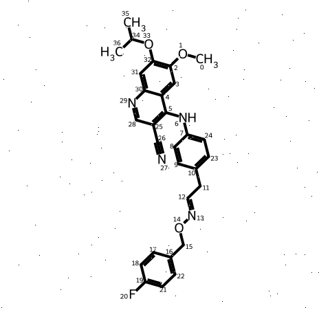 COc1cc2c(Nc3ccc(CC=NOCc4ccc(F)cc4)cc3)c(C#N)cnc2cc1OC(C)C